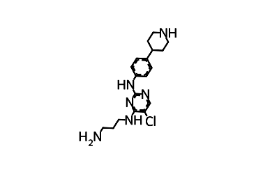 NCCCNc1nc(Nc2ccc(C3CCNCC3)cc2)ncc1Cl